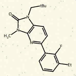 CCc1cccc(-c2ccc3c(n2)n(C)c(=O)n3CC(C)(C)C)c1F